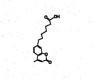 Cc1cc(=O)oc2cc(CCCCCCC(=O)O)ccc12